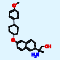 COc1ccc([C@H]2CC[C@@H](Oc3ccc4cc([C@@](C)(N)CO)ccc4c3)CC2)cc1